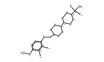 COc1ccc(OCC2CCC(C3CCC(C(C)(F)F)CC3)CC2)c(F)c1F